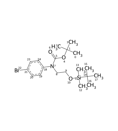 CC(C)(C)OC(=O)N(CCO[Si](C)(C)C(C)(C)C)c1ccc(Br)cc1